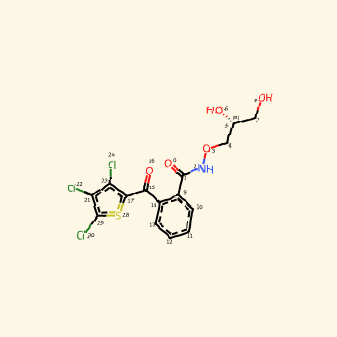 O=C(NOC[C@H](O)CO)c1ccccc1C(=O)c1sc(Cl)c(Cl)c1Cl